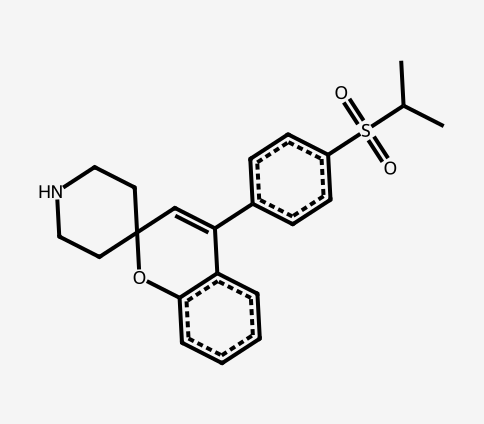 CC(C)S(=O)(=O)c1ccc(C2=CC3(CCNCC3)Oc3ccccc32)cc1